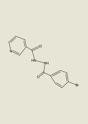 O=C(NNC(=O)c1cccnc1)c1ccc(Br)cc1